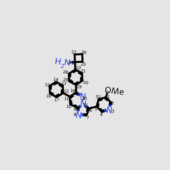 COc1cncc(-c2cnc3cc(-c4ccccc4)c(-c4ccc(C5(N)CCC5)cc4)nn23)c1